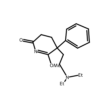 CCN(CC)CCC1(c2ccccc2)CCC(=O)N=C1OC